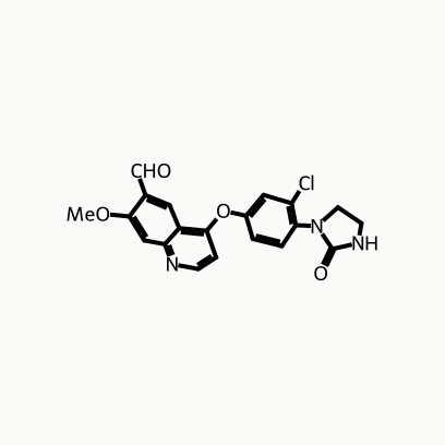 COc1cc2nccc(Oc3ccc(N4CCNC4=O)c(Cl)c3)c2cc1C=O